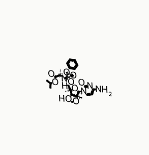 CO[C@@]1(C)[C@H](n2ccc(N)nc2=O)O[C@](C)(COP(=O)(N[C@@H](C)C(=O)OC(C)C)Oc2ccccc2)[C@H]1O